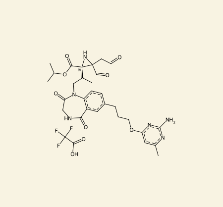 Cc1cc(OCCCc2ccc3c(c2)C(=O)NCC(=O)N3CC(C)[C@@]2(C(=O)OC(C)C)NC2(C=O)CC=O)nc(N)n1.O=C(O)C(F)(F)F